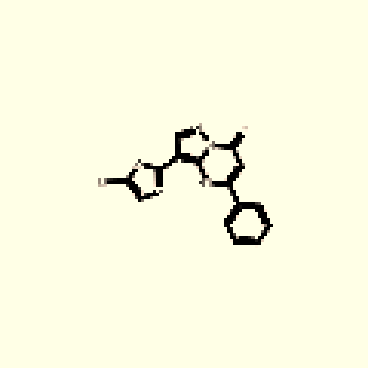 CCc1cnc(-c2cnn3c(=O)cc(-c4ccccc4)[nH]c23)o1